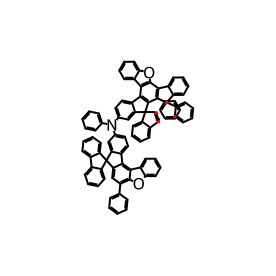 c1ccc(-c2cc3c(c4c2oc2ccccc24)-c2ccc(N(c4ccccc4)c4ccc5c(c4)C4(c6ccccc6-c6ccccc64)c4c6c(c7oc8ccccc8c7c4-5)-c4ccccc4C64c5ccccc5-c5ccccc54)cc2C32c3ccccc3-c3ccccc32)cc1